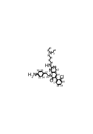 CCN(CC)CCCCNc1ncc2cc(-c3ccccc3Cl)c(=O)n(CCc3ccc(N)cc3)c2n1